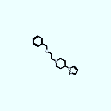 c1ccc(COCCN2CCC(n3cccn3)CC2)cc1